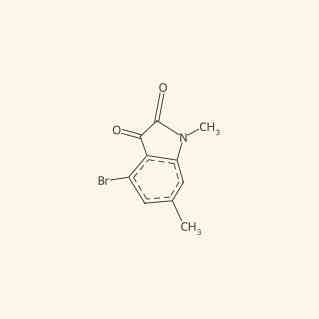 Cc1cc(Br)c2c(c1)N(C)C(=O)C2=O